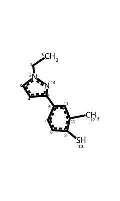 CCn1ccc(-c2ccc(S)c(C)c2)n1